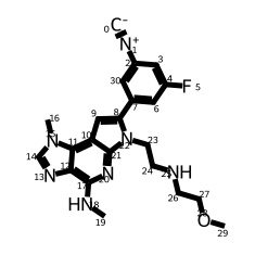 [C-]#[N+]c1cc(F)cc(-c2cc3c4c(ncn4C)c(NC)nc3n2CCNCCOC)c1